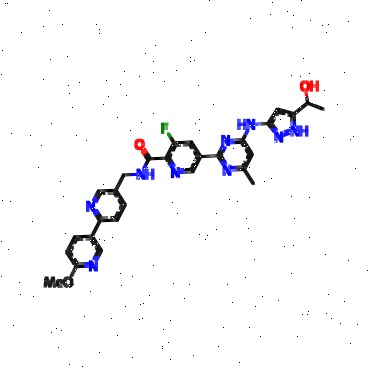 COc1ccc(-c2ccc(CNC(=O)c3ncc(-c4nc(C)cc(Nc5cc(C(C)O)[nH]n5)n4)cc3F)cn2)cn1